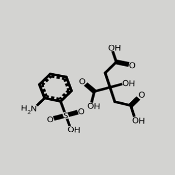 Nc1ccccc1S(=O)(=O)O.O=C(O)CC(O)(CC(=O)O)C(=O)O